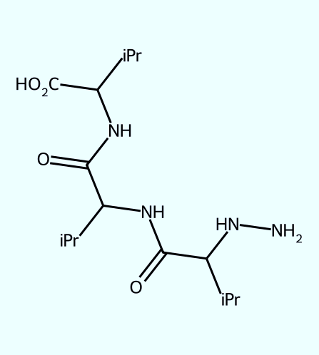 CC(C)C(NC(=O)C(NC(=O)C(NN)C(C)C)C(C)C)C(=O)O